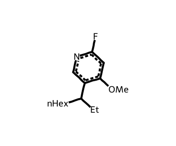 CCCCCCC(CC)c1cnc(F)cc1OC